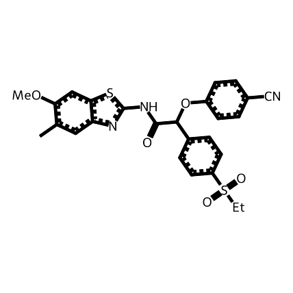 CCS(=O)(=O)c1ccc(C(Oc2ccc(C#N)cc2)C(=O)Nc2nc3cc(C)c(OC)cc3s2)cc1